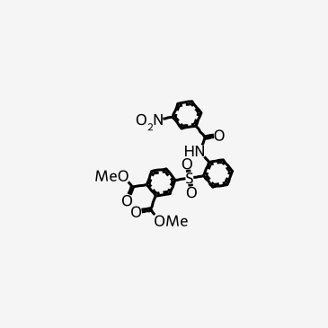 COC(=O)c1ccc(S(=O)(=O)c2ccccc2NC(=O)c2cccc([N+](=O)[O-])c2)cc1C(=O)OC